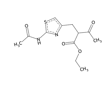 CCOC(=O)C(Cc1csc(NC(C)=O)n1)C(C)=O